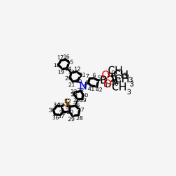 CC1(C)OB(c2ccc(N(c3ccc(-c4ccccc4)cc3)c3ccc(-c4cccc5c4sc4ccccc45)cc3)cc2)OC1(C)C